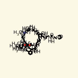 CO/C(C)=C1/NC(=O)[C@H]([C@@H](C)O)NC(=O)c2csc(n2)-c2cc(O)c(-c3nc(CNC(=O)NCCN4CCOCC4)cs3)nc2-c2csc(n2)[C@@H]2COC(=O)c3c4c5c(cccc5n3O)COC(=O)[C@@H](O[C@H]3C[C@](C)(O)[C@H](N(C)C)[C@H](C)O3)[C@@H](OC4)[C@H](NC(=O)c3csc1n3)c1nc(cs1)C(=O)N2